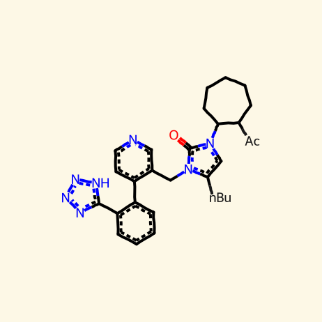 CCCCc1cn(C2CCCCCC2C(C)=O)c(=O)n1Cc1cnccc1-c1ccccc1-c1nnn[nH]1